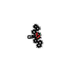 C1=C(C2CCCC2)[CH]([Hf+2]2([CH]3C(C4CCCC4)=Cc4c(-c5cccc6ccccc56)cccc43)[CH2][CH2]2)c2cccc(-c3cccc4ccccc34)c21.[Cl-].[Cl-]